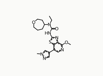 CCN(C(=O)Nc1nc2c(OC)ncc(-c3cnn(C)c3)c2s1)C1CCCOCC1